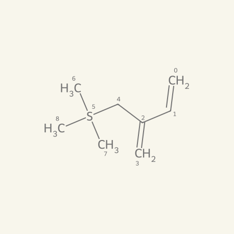 C=CC(=C)CS(C)(C)C